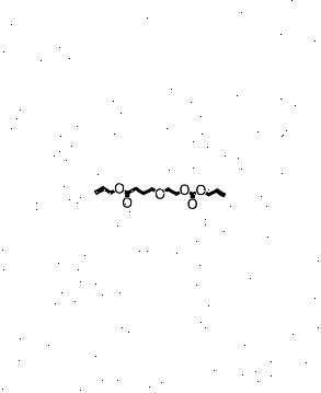 C=CCOC(=O)CCCOCCOC(=O)OCC=C